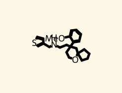 COc1ccccc1C1(CCNCc2ccsc2)CCOC2(CCCC2)C1